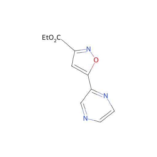 CCOC(=O)c1cc(-c2cnccn2)on1